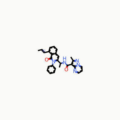 C/C=C/c1cccc2cc(C(C)NC(=O)c3c(C)nn4cccnc34)n(-c3ccccc3)c(=O)c12